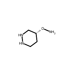 NO[C@@H]1CCNNC1